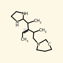 C/C=C(\C(C)CN1CCCCC1)C(C)C1NCCN1